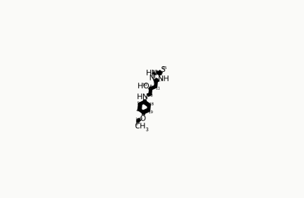 CCOc1ccc(NCC(O)Cc2n[nH]c(=S)[nH]2)cc1